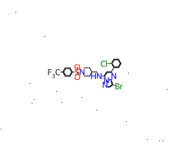 O=S(=O)(c1ccc(C(F)(F)F)cc1)N1CCC(CNc2cc(-c3ccccc3Cl)nc3c(Br)cnn23)CC1